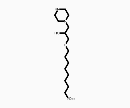 CCCCCCCCCCCCCCCCCCOCC(O)CN1CCNCC1